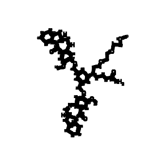 COCCOCCOCCN(CCCC(N)=O)c1cc(COc2cc3c(cc2OC)C(=O)N2C4=C(CCC=C4)C[C@H]2C=N3)cc(COc2cc3c(cc2OC)C(=O)N2c4ccccc4C[C@H]2CN3)c1